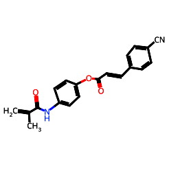 C=C(C)C(=O)Nc1ccc(OC(=O)C=Cc2ccc(C#N)cc2)cc1